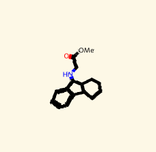 COC(=O)CNC1c2ccccc2C2CCCCC21